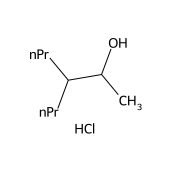 CCCC(CCC)C(C)O.Cl